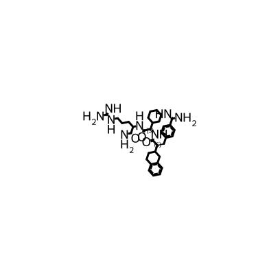 N=C(N)NCCCC(NC(=O)[C@@H](NC(=O)[C@@H](Cc1ccc(C(=N)N)cc1)C1CCc2ccccc2C1)C1CCCCC1)C(N)=O